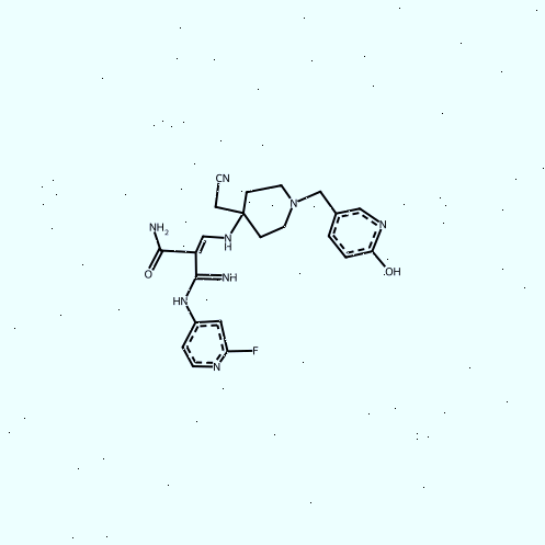 N#CCC1(N/C=C(\C(=N)Nc2ccnc(F)c2)C(N)=O)CCN(Cc2ccc(O)nc2)CC1